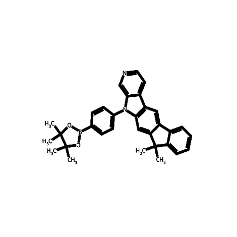 CC1(C)c2ccccc2-c2cc3c4ccncc4n(-c4ccc(B5OC(C)(C)C(C)(C)O5)cc4)c3cc21